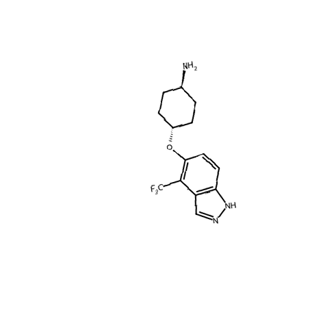 N[C@H]1CC[C@H](Oc2ccc3[nH]ncc3c2C(F)(F)F)CC1